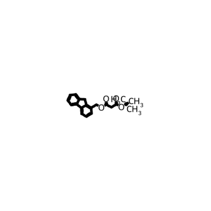 CC(C)(C)OC(=O)CC(=O)OCc1cccc2c1Cc1ccccc1-2